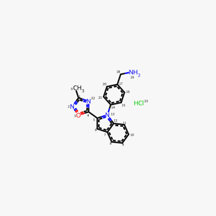 Cc1noc(-c2cc3ccccc3n2-c2ccc(CN)cc2)n1.Cl